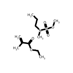 C=C(C)C(=O)OCC.CCCN(C)S(=O)(=O)OC